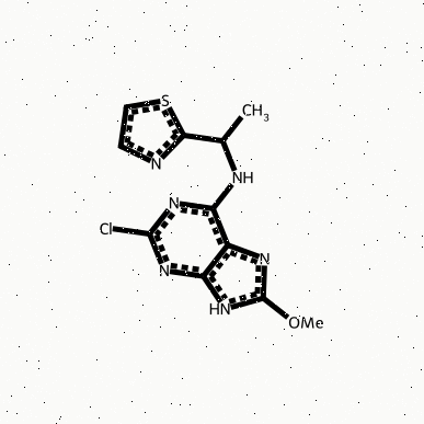 COc1nc2c(NC(C)c3nccs3)nc(Cl)nc2[nH]1